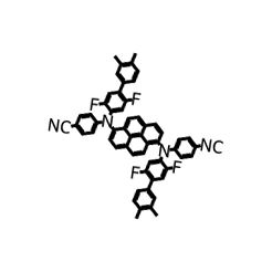 [C-]#[N+]c1ccc(N(c2cc(F)c(-c3ccc(C)c(C)c3)cc2F)c2ccc3ccc4c(N(c5ccc(C#N)cc5)c5cc(F)c(-c6ccc(C)c(C)c6)cc5F)ccc5ccc2c3c54)cc1